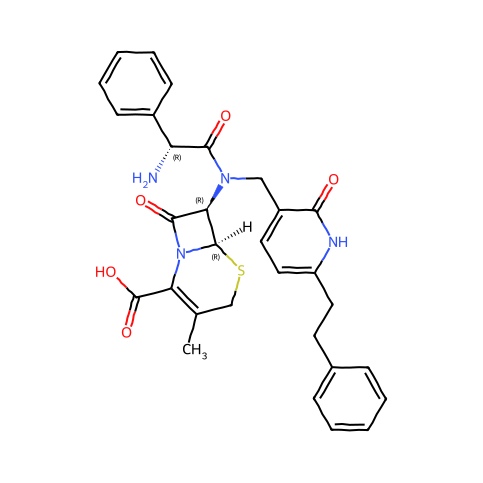 CC1=C(C(=O)O)N2C(=O)[C@@H](N(Cc3ccc(CCc4ccccc4)[nH]c3=O)C(=O)[C@H](N)c3ccccc3)[C@H]2SC1